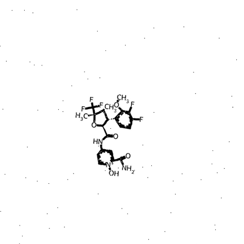 COc1c([C@@H]2[C@@H](C(=O)Nc3cc[n+](O)c(C(N)=O)c3)O[C@](C)(C(F)(F)F)[C@H]2C)ccc(F)c1F